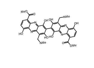 CNCc1c(O)c(-c2c(O)c(CNC)c3nc4c(O)ccc(C(=O)OC)c4nc3c2O)c(O)c2nc3c(C(=O)OC)ccc(O)c3nc12